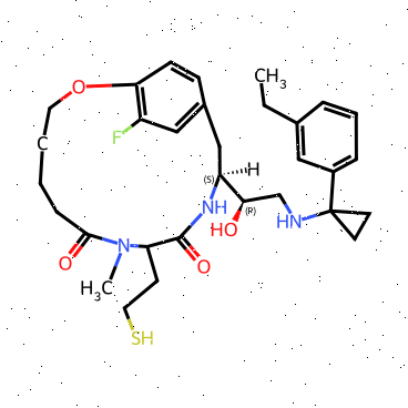 CCc1cccc(C2(NC[C@@H](O)[C@@H]3Cc4ccc(c(F)c4)OCCCCC(=O)N(C)C(CCS)C(=O)N3)CC2)c1